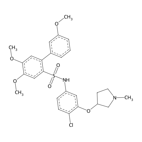 COc1cccc(-c2cc(OC)c(OC)cc2S(=O)(=O)Nc2ccc(Cl)c(OC3CCN(C)C3)c2)c1